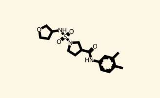 Cc1ccc(NC(=O)C2CCN(S(=O)(=O)NC3CCOC3)C2)cc1C